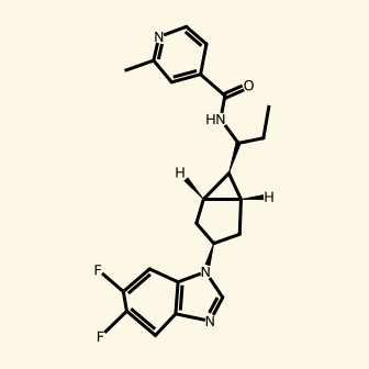 CCC(NC(=O)c1ccnc(C)c1)[C@H]1[C@@H]2C[C@@H](n3cnc4cc(F)c(F)cc43)C[C@@H]21